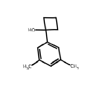 Cc1cc(C)cc(C2(O)CCC2)c1